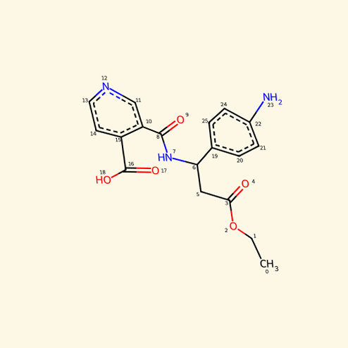 CCOC(=O)CC(NC(=O)c1cnccc1C(=O)O)c1ccc(N)cc1